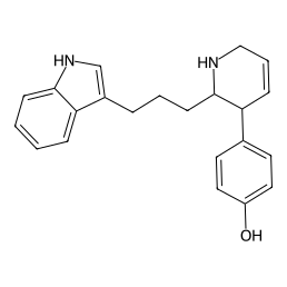 Oc1ccc(C2C=CCNC2CCCc2c[nH]c3ccccc23)cc1